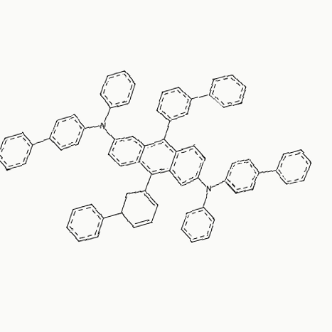 C1=CC(c2ccccc2)CC(c2c3cc(N(c4ccccc4)c4ccc(-c5ccccc5)cc4)ccc3c(-c3cccc(-c4ccccc4)c3)c3cc(N(c4ccccc4)c4ccc(-c5ccccc5)cc4)ccc23)=C1